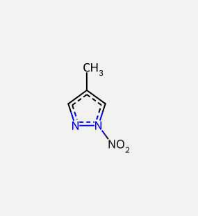 Cc1cnn([N+](=O)[O-])c1